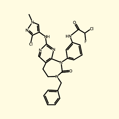 Cn1cc(Nc2ncc3c(n2)N(c2cccc(NC(=O)C(F)Cl)c2)C(=O)N(Cc2ccccc2)CC3)c(Cl)n1